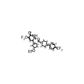 CCO[C@@H]1C[C@@H](C(=O)N2CCN(c3ncc(C(F)(F)F)cn3)CC2)N(c2cc(C(F)(F)F)c(=O)[nH]n2)C1